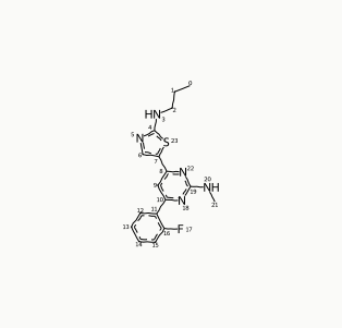 CCCNc1ncc(-c2cc(-c3ccccc3F)nc(NC)n2)s1